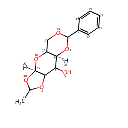 CC1OC2C(O)[C@@H]3OC(c4ccccc4)OCC3O[C@@H]2O1